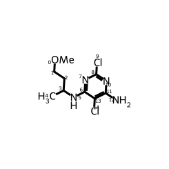 COCCC(C)Nc1nc(Cl)nc(N)c1Cl